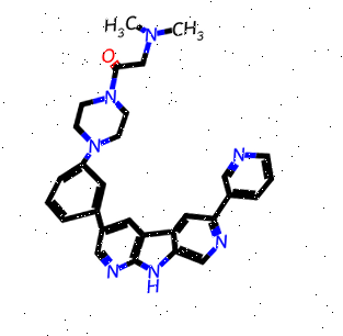 CN(C)CC(=O)N1CCN(c2cccc(-c3cnc4[nH]c5cnc(-c6cccnc6)cc5c4c3)c2)CC1